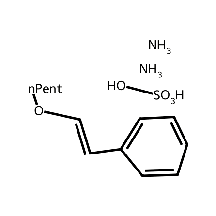 CCCCCOC=Cc1ccccc1.N.N.O=S(=O)(O)O